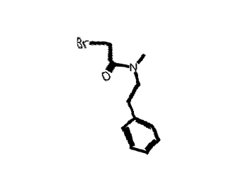 CN(CCc1ccccc1)C(=O)CBr